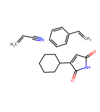 C=CC#N.C=Cc1ccccc1.O=C1C=C(C2CCCCC2)C(=O)N1